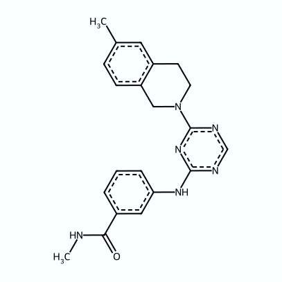 CNC(=O)c1cccc(Nc2ncnc(N3CCc4cc(C)ccc4C3)n2)c1